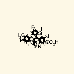 Cc1cc(-n2c(C(C)(C)CC#N)c(-c3cnc(C(=O)O)c(Cl)c3)c3c(O)cc(F)cc32)ccc1F